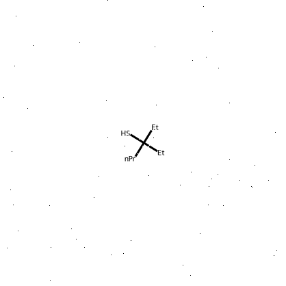 CCCC(S)(CC)CC